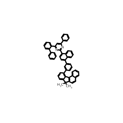 CC1(C)c2cccc(-c3cccc(-c4ccc(-c5nc(-c6ccccc6)cc(-c6ccccc6-c6ccccc6)n5)c5ccccc45)c3)c2-c2c1ccc1ccccc21